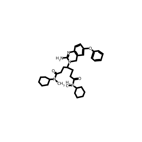 CN(C(=O)CCC(CCC(=O)N(C)C1CCCCC1)N1Cc2cc(Oc3ccccc3)ccc2N=C1N)C1CCCCC1